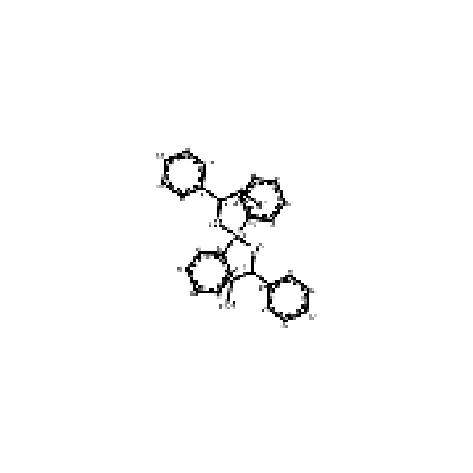 BrCC(O[Si](OC(CBr)c1ccccc1)(c1ccccc1)c1ccccc1)c1ccccc1